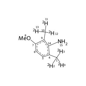 [2H]C([2H])([2H])c1ccc(OC)c(C([2H])([2H])[2H])c1N